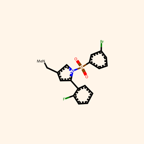 CNCc1cc(-c2ccccc2F)n(S(=O)(=O)c2cccc(Br)c2)c1